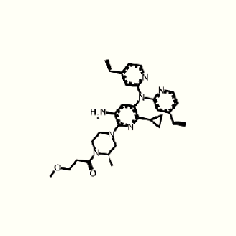 C=Cc1ccnc(N(c2cc(C=C)ccn2)c2cc(N)c(N3CCN(C(=O)CCOC)[C@H](C)C3)nc2C2CC2)c1